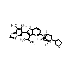 C=C1[C@@H]2CN(C3CCOC3)[C@H]1CN2c1ccc2[nH]c(-c3cn4ncnc4c(C)c3C)c(C(C)C)c2n1